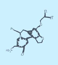 CCC(CC)COc1cc2c(c3c1OCC3)-c1cc(=O)c(C(=O)O)cn1C(C(C)C)C2